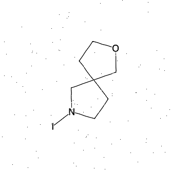 IN1CCC2(CCOC2)C1